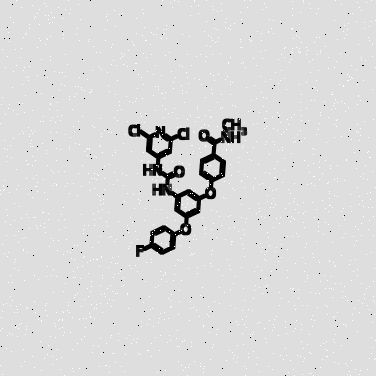 CNC(=O)c1ccc(Oc2cc(NC(=O)Nc3cc(Cl)nc(Cl)c3)cc(Oc3ccc(F)cc3)c2)cc1